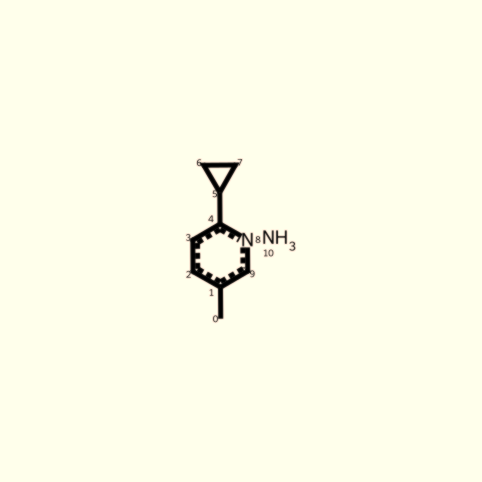 Cc1ccc(C2CC2)nc1.N